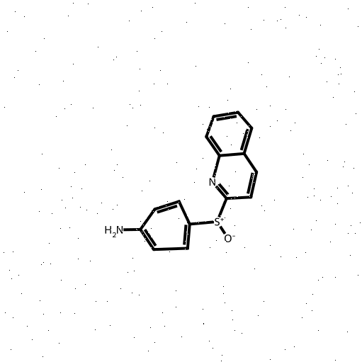 Nc1ccc([S+]([O-])c2ccc3ccccc3n2)cc1